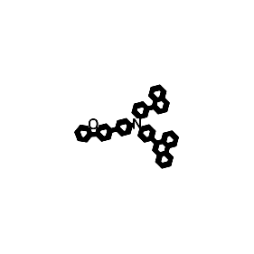 c1cc(-c2cccc3ccccc23)cc(N(c2ccc(-c3ccc4c(c3)oc3ccccc34)cc2)c2ccc(-c3cc4ccccc4c4ccccc34)cc2)c1